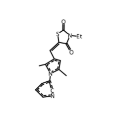 CCN1C(=O)S/C(=C/c2cc(C)n(-c3cccnc3)c2C)C1=O